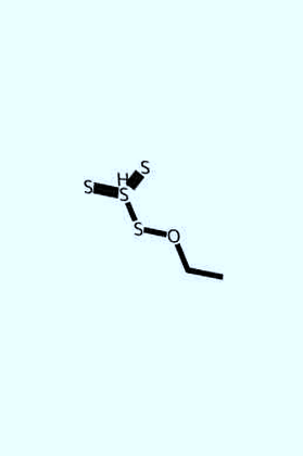 CCOS[SH](=S)=S